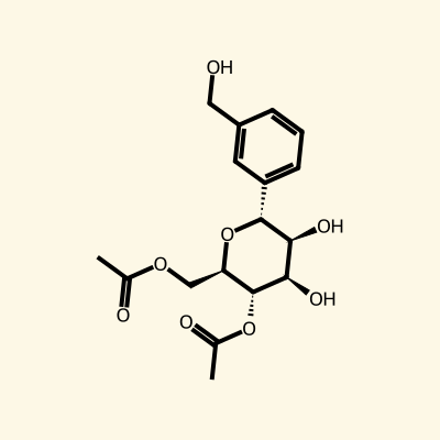 CC(=O)OC[C@H]1O[C@H](c2cccc(CO)c2)[C@@H](O)[C@@H](O)[C@@H]1OC(C)=O